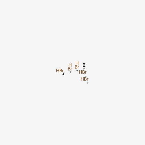 Br.Br.Br.Br.Br.[B]